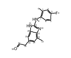 Cc1cc(F)ccc1Nc1nc2c(C)cc(CC=O)cc2[nH]1